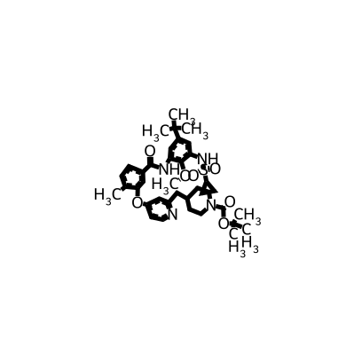 COc1c(NC(=O)c2ccc(C)c(Oc3ccnc(CC4CCN(C(=O)OC(C)(C)C)CC4)c3)c2)cc(C(C)(C)C)cc1NS(=O)(=O)C1CC1